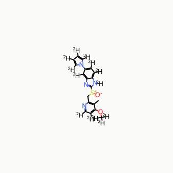 [2H]c1nc(C[S+]([O-])c2nc3c([2H])c(-n4c([2H])c([2H])c([2H])c4[2H])c([2H])c([2H])c3n2[2H])c(C)c(OC([2H])([2H])[2H])c1[2H]